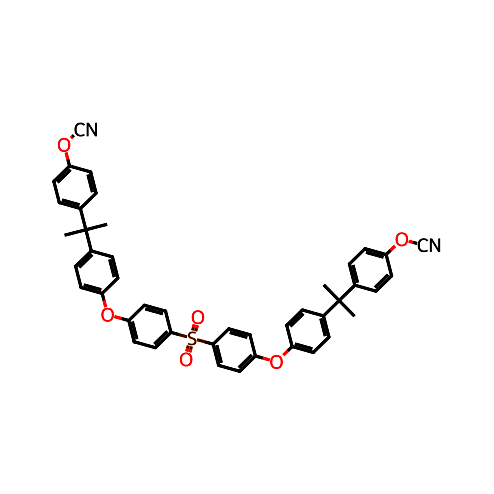 CC(C)(c1ccc(OC#N)cc1)c1ccc(Oc2ccc(S(=O)(=O)c3ccc(Oc4ccc(C(C)(C)c5ccc(OC#N)cc5)cc4)cc3)cc2)cc1